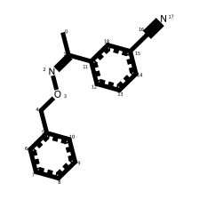 CC(=NOCc1ccccc1)c1cccc(C#N)c1